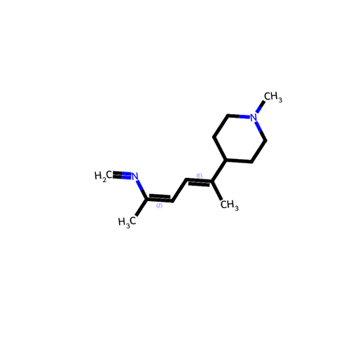 C=N/C(C)=C\C=C(/C)C1CCN(C)CC1